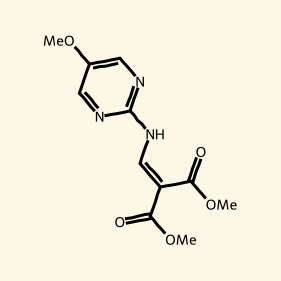 COC(=O)C(=CNc1ncc(OC)cn1)C(=O)OC